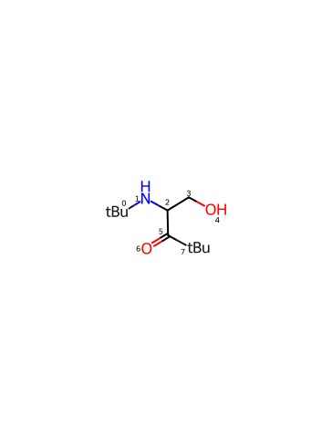 CC(C)(C)NC(CO)C(=O)C(C)(C)C